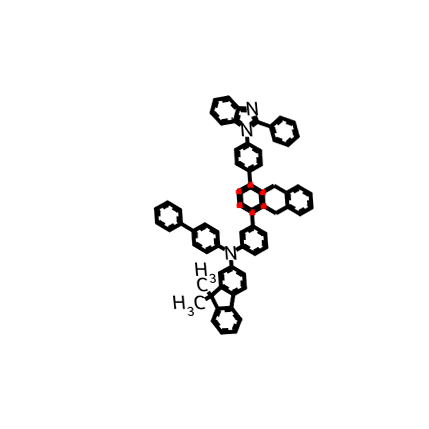 CC1(C)c2ccccc2-c2ccc(N(c3ccc(-c4ccccc4)cc3)c3cccc(-c4ccc(-c5ccc(-n6c(-c7ccccc7)nc7ccccc76)cc5)c5c4C4c6ccccc6C5c5ccccc54)c3)cc21